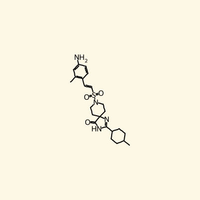 Cc1cc(N)ccc1/C=C/S(=O)(=O)N1CCC2(CC1)N=C(C1CCC(C)CC1)NC2=O